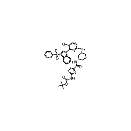 CC(C)(C)OC(=O)Nc1nc(C(=O)N[C@H]2CCC[C@@H](Nc3ncc(Cl)c(-c4cn(S(=O)(=O)c5ccccc5)c5ccccc45)n3)C2)cs1